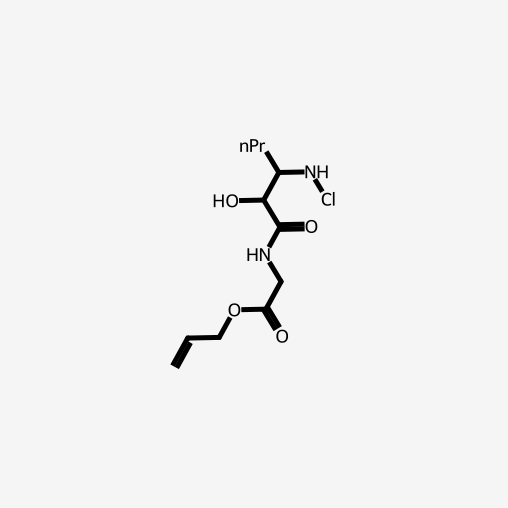 C=CCOC(=O)CNC(=O)C(O)C(CCC)NCl